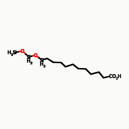 O=C(O)CCCCCCCCCC[SiH2]O[SiH2]O[SiH3]